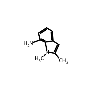 Cc1cc2cccc(N)c2n1C